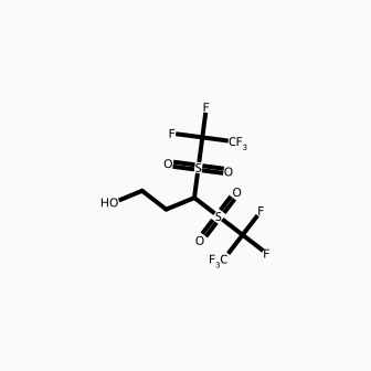 O=S(=O)(C(CCO)S(=O)(=O)C(F)(F)C(F)(F)F)C(F)(F)C(F)(F)F